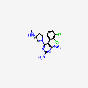 CN[C@@H]1CCN(c2nc(N)nc(N)c2-c2cccc(Cl)c2Cl)C1